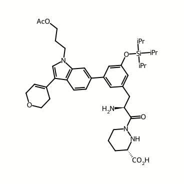 CC(=O)OCCCn1cc(C2=CCOCC2)c2ccc(-c3cc(C[C@H](N)C(=O)N4CCC[C@@H](C(=O)O)N4)cc(O[Si](C(C)C)(C(C)C)C(C)C)c3)cc21